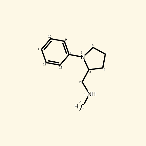 CNCC1CCCN1c1ccccc1